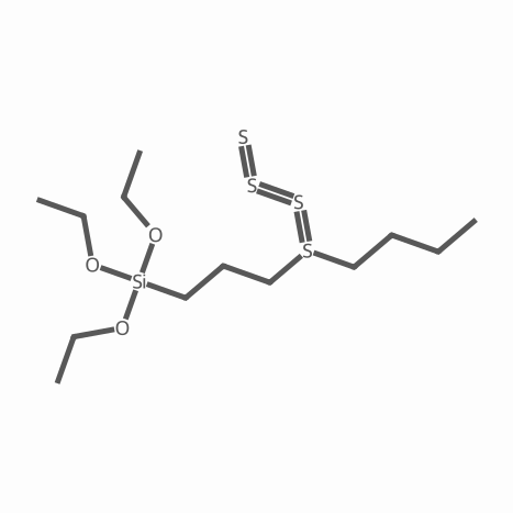 CCCCS(CCC[Si](OCC)(OCC)OCC)=S=S=S